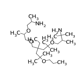 CCCOC(C)(C)CC(CC)(COCC(C)OCC(C)N)CC(C)(C)OCC(C)C(C)(C)N